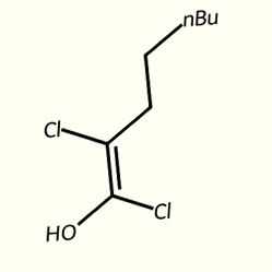 CCCCCC/C(Cl)=C(/O)Cl